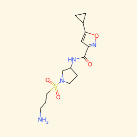 NCCCS(=O)(=O)N1CCC(NC(=O)c2cc(C3CC3)on2)C1